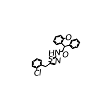 O=C(Nc1ncc(Cc2ccccc2Cl)s1)C1c2ccccc2Oc2ccccc21